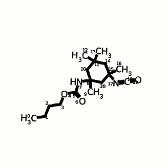 CCCCOC(=O)NC1(C)CC(C)(C)CC(C)(N=C=O)C1